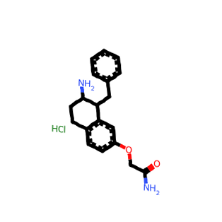 Cl.NC(=O)COc1ccc2c(c1)C(Cc1ccccc1)C(N)CC2